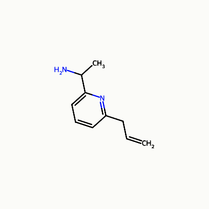 C=CCc1cccc(C(C)N)n1